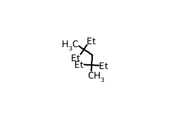 CCC(C)(CC)CC(C)(CC)CC